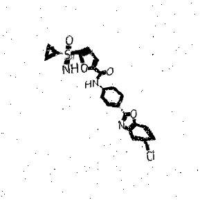 N=[S@@](=O)(c1ccc(C(=O)N[C@H]2CC[C@@H](c3nc4cc(Cl)ccc4o3)CC2)o1)C1CC1